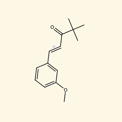 COc1cccc(/C=C/C(=O)C(C)(C)C)c1